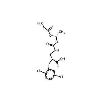 CCC(=O)O[C@H](C)OC(=O)NC[C@H](Cc1cc(Cl)ccc1Cl)C(=O)O